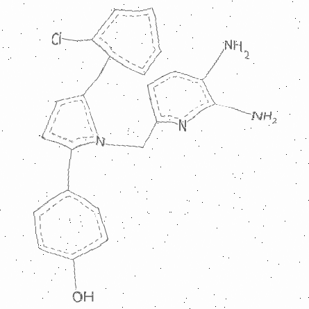 Nc1ccc(Cn2c(-c3ccc(O)cc3)ccc2-c2ccccc2Cl)nc1N